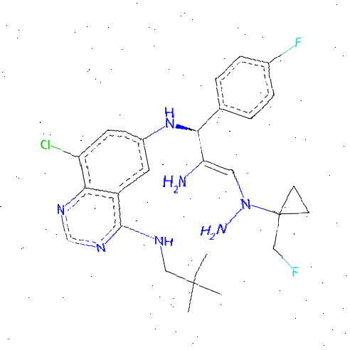 CC(C)(C)CNc1ncnc2c(Cl)cc(N[C@H](/C(N)=C/N(N)C3(CF)CC3)c3ccc(F)cc3)cc12